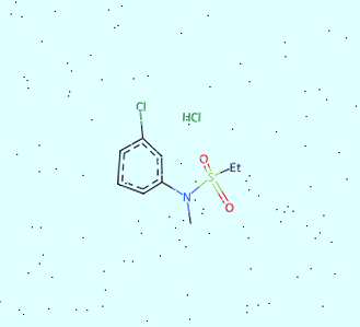 CCS(=O)(=O)N(C)c1cccc(Cl)c1.Cl